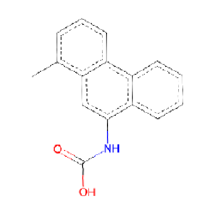 Cc1cccc2c1cc(NC(=O)O)c1ccccc12